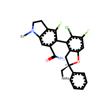 CCN1CCc2c1cc(C(N)=O)c(-c1c(Cl)c(F)cc3c1C[C@@](CNC)(c1ccccc1)O3)c2F